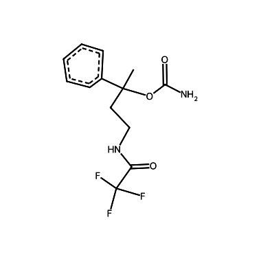 CC(CCNC(=O)C(F)(F)F)(OC(N)=O)c1ccccc1